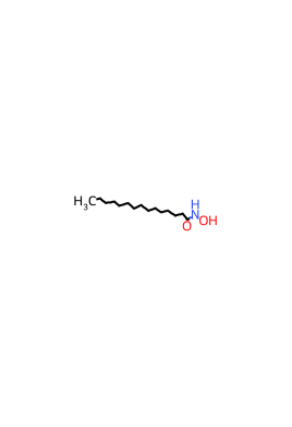 CCCCCCCCCCCCCCC(=O)NO